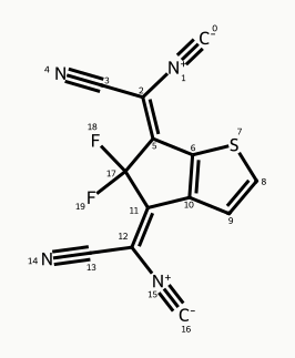 [C-]#[N+]/C(C#N)=C1\c2sccc2/C(=C(/C#N)[N+]#[C-])C1(F)F